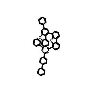 c1ccc(-c2ccc(-c3nc(-c4ccccc4)nc(-c4cccc5c4sc4c(-c6cc(-c7ccccc7)cc7oc8ccccc8c67)cccc45)n3)cc2)cc1